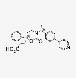 C[C@@H](c1ccc(-c2ccncc2)cc1)N1CC[C@](CCC(=O)O)(c2ccccc2)OC1=O